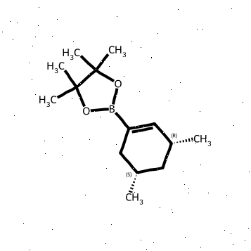 C[C@@H]1CC(B2OC(C)(C)C(C)(C)O2)=C[C@H](C)C1